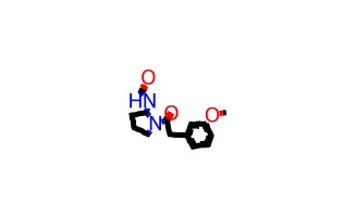 COc1cccc(CC(=O)N2CCCC2NC=O)c1